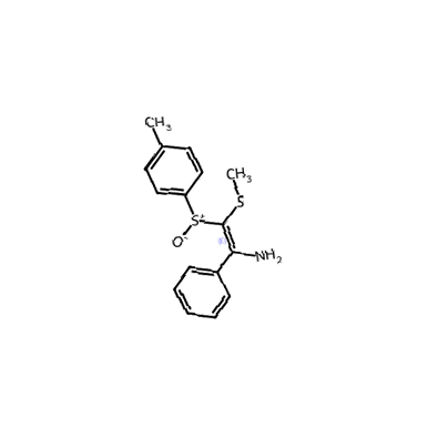 CS/C(=C(\N)c1ccccc1)[S+]([O-])c1ccc(C)cc1